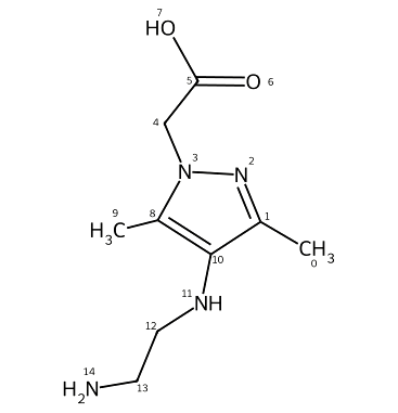 Cc1nn(CC(=O)O)c(C)c1NCCN